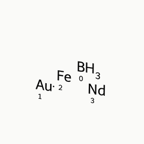 B.[Au].[Fe].[Nd]